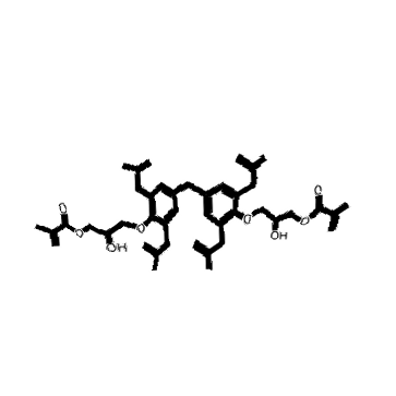 C=C(C)Cc1cc(Cc2cc(CC(=C)C)c(OCC(O)COC(=O)C(=C)C)c(CC(=C)C)c2)cc(CC(=C)C)c1OCC(O)COC(=O)C(=C)C